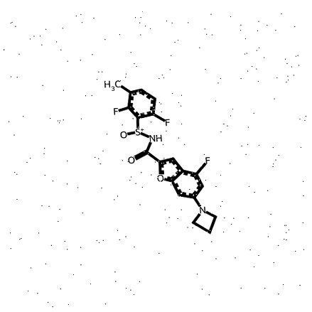 Cc1ccc(F)c([S+]([O-])NC(=O)c2cc3c(F)cc(N4CCC4)cc3o2)c1F